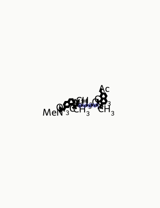 CNC(=O)Cc1ccc2ccc3c(c2c1)C(C)(C)C(/C=C/C=C/C=C/C=C1/N(C)c2ccc4ccc(CC(C)=O)cc4c2C1(C)C)=[N+]3C